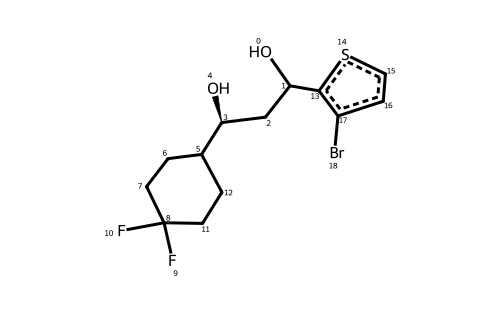 OC(C[C@H](O)C1CCC(F)(F)CC1)c1sccc1Br